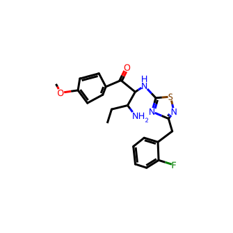 CCC(N)C(Nc1nc(Cc2ccccc2F)ns1)C(=O)c1ccc(OC)cc1